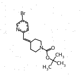 CC(C)(C)OC(=O)N1CCC(=Cc2ccc(Br)cn2)CC1